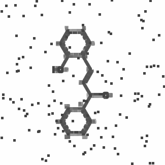 O=C(C=Cc1ccccc1O)c1ccccc1